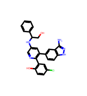 Nc1n[nH]c2ccc(-c3cc(NC(CO)c4ccccc4)cnc3-c3cc(Cl)ccc3O)cc12